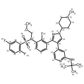 COCN(c1cccc(-c2nn(C3CCN(C)CC3)cc2-c2ccnc(NC(C)(C)C)c2)c1F)S(=O)(=O)c1cc(F)ccc1F